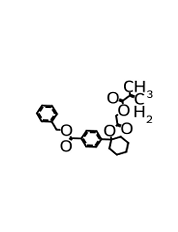 C=C(C)C(=O)OCC(=O)OC1(c2ccc(C(=O)OCc3ccccc3)cc2)CCCCC1